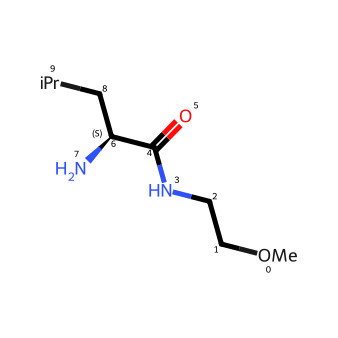 COCCNC(=O)[C@@H](N)CC(C)C